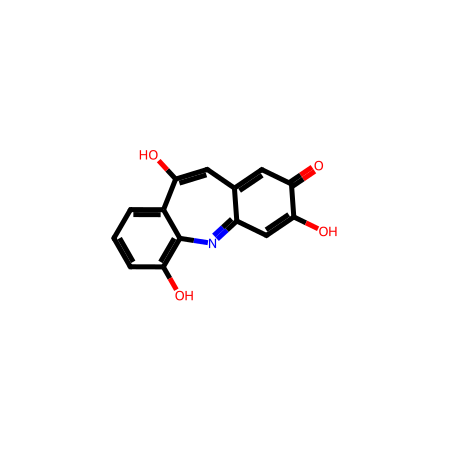 O=c1cc2cc(O)c3cccc(O)c3nc-2cc1O